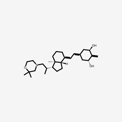 C=C1[C@H](O)CC(=C/C=C2\CCC[C@]3(C)[C@@H](C(C)CN4CCOC(C)(C)C4)CC[C@@H]23)C[C@H]1O